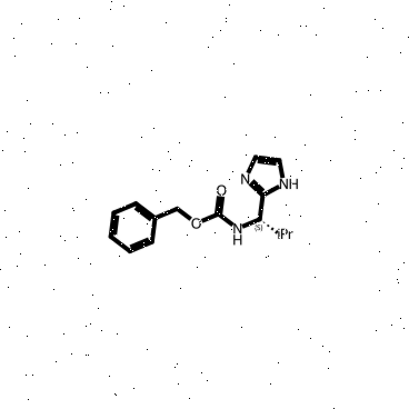 CC(C)[C@H](NC(=O)OCc1ccccc1)c1ncc[nH]1